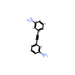 Nc1cccc(C#Cc2cccc(N)c2)c1